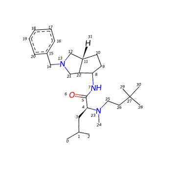 CC(C)C[C@@H](C(=O)NC1CC[C@H]2CN(Cc3ccccc3)CC12)N(C)CCC(C)(C)C